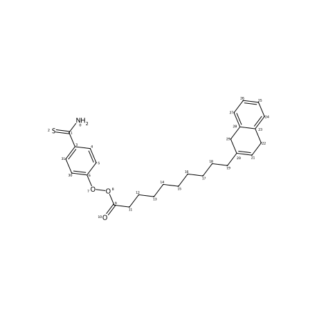 NC(=S)c1ccc(OOC(=O)CCCCCCCCCC2=CCc3ccccc3C2)cc1